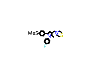 CSc1ccc(-c2cc(CN3CCSCC3)c(C)n2-c2ccc(F)cc2)cc1